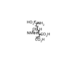 CNCC(=O)O.NC(CCCCNC(CCC(=O)O)C(=O)O)C(=O)O